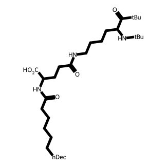 CCCCCCCCCCCCCCCC(=O)NC(CCC(=O)NCCCCC(NC(C)(C)C)C(=O)C(C)(C)C)C(=O)O